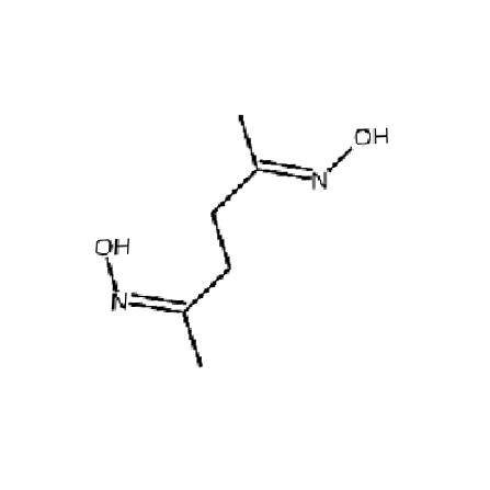 CC(CCC(C)=NO)=NO